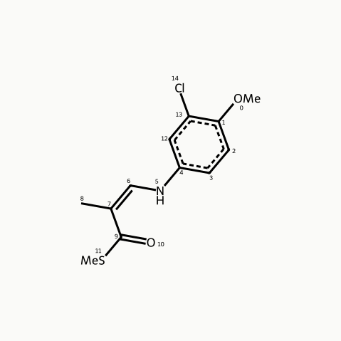 COc1ccc(NC=C(C)C(=O)SC)cc1Cl